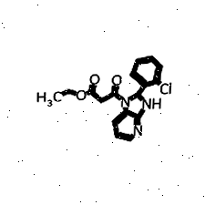 CCOC(=O)CC(=O)N1c2cccnc2NC1c1ccccc1Cl